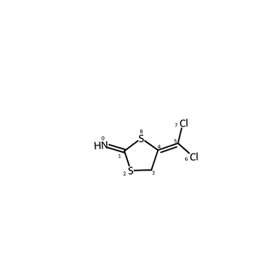 N=C1SCC(=C(Cl)Cl)S1